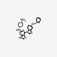 N[C@H]1CC[C@H](Nc2nc(-n3cnc4cc(OCc5ccccc5)ccc43)c3nc[nH]c3n2)CC1